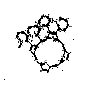 CC[n+]1ccccc1C1=CC2=CC3=NC(=CC4=NC(=CC5=NC(=C(c6cccc[n+]6CC)C1=N2)C(c1cccc[n+]1CC)=C5c1cccc[n+]1CC)C=C4)C=C3